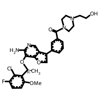 COc1ccc(F)c(Cl)c1[C@@H](C)Oc1c(N)ncc2c(-c3cccc(C(=O)N4CCN(CCO)CC4)c3)coc12